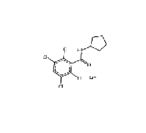 O=C(P[C]1CCCC1)c1c(Cl)c(Cl)cc(Cl)c1Cl.[LiH]